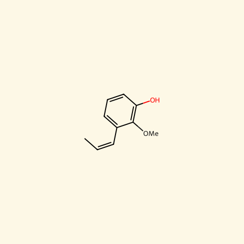 C/C=C\c1cccc(O)c1OC